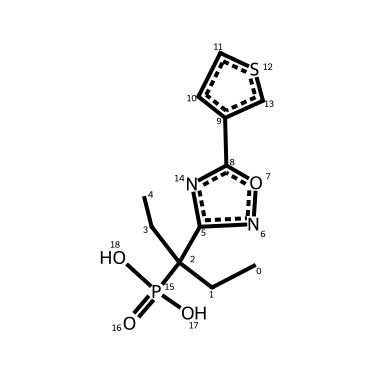 CCC(CC)(c1noc(-c2ccsc2)n1)P(=O)(O)O